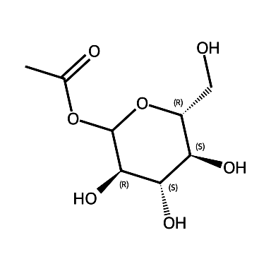 CC(=O)OC1O[C@H](CO)[C@@H](O)[C@H](O)[C@H]1O